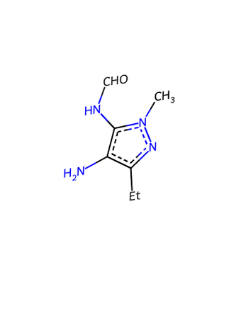 CCc1nn(C)c(NC=O)c1N